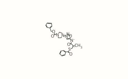 C[C@H](CSC(=O)c1ccccc1)C(=O)[N-]c1c[n+](N2CCN(C(=O)OCc3ccccc3)CC2)no1